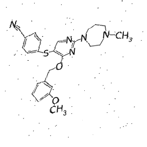 COc1cccc(COc2nc(N3CCCN(C)CC3)ncc2Sc2ccc(C#N)cc2)c1